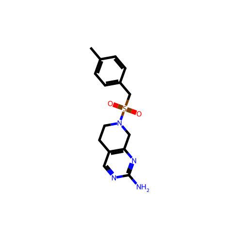 Cc1ccc(CS(=O)(=O)N2CCc3cnc(N)nc3C2)cc1